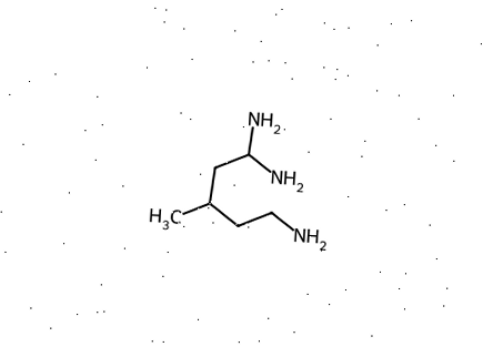 CC(CCN)CC(N)N